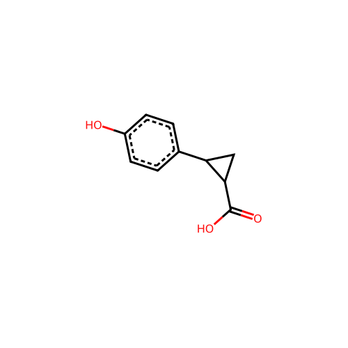 O=C(O)C1CC1c1ccc(O)cc1